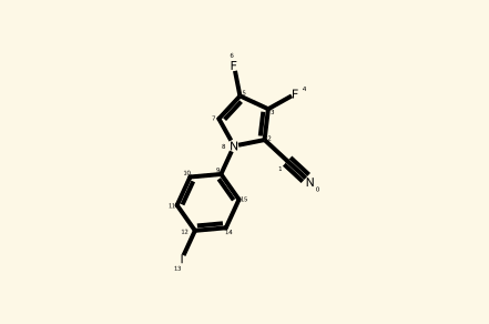 N#Cc1c(F)c(F)cn1-c1ccc(I)cc1